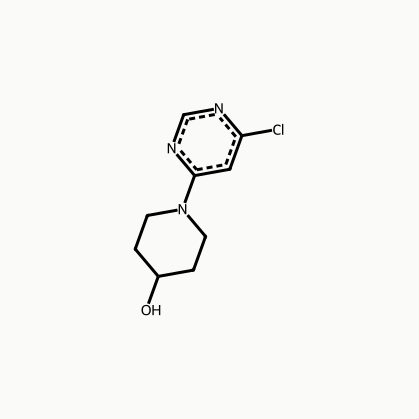 OC1CCN(c2cc(Cl)ncn2)CC1